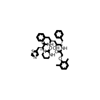 Cc1cccc(C)c1OCC(=O)N[C@@H](Cc1ccccc1)[C@@H](O)C[C@H](Cc1ccccc1)NC(=O)[C@H](Cc1cncs1)N1CCCNC1=O